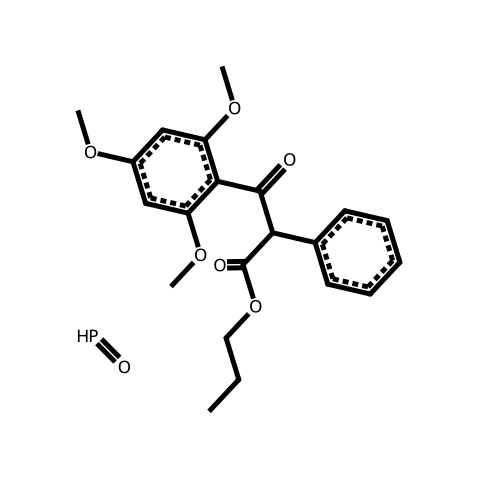 CCCOC(=O)C(C(=O)c1c(OC)cc(OC)cc1OC)c1ccccc1.O=P